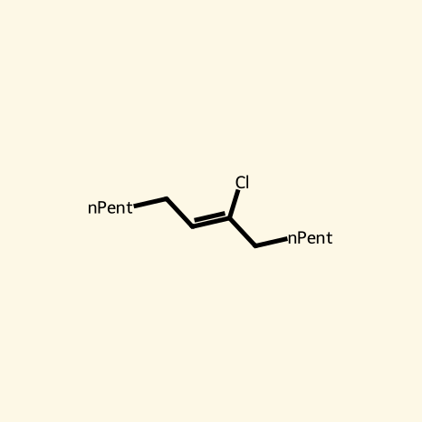 CCCCCCC=C(Cl)CCCCCC